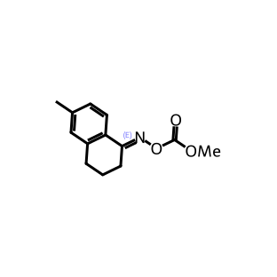 COC(=O)O/N=C1\CCCc2cc(C)ccc21